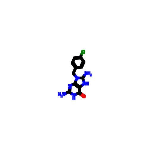 Nc1nc2c(c(=O)[nH]1)NC(N)N2Cc1ccc(Cl)cc1